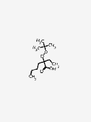 CCCCC(CC)(OOC(C)(C)C)C(=O)O